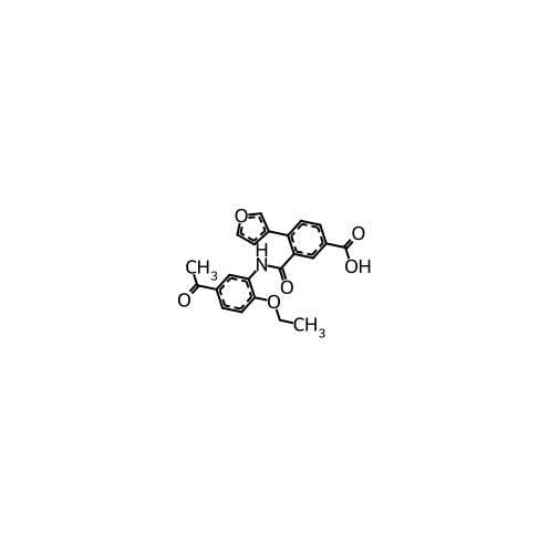 CCOc1ccc(C(C)=O)cc1NC(=O)c1cc(C(=O)O)ccc1-c1ccoc1